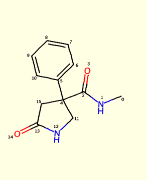 CNC(=O)C1(c2ccccc2)CNC(=O)C1